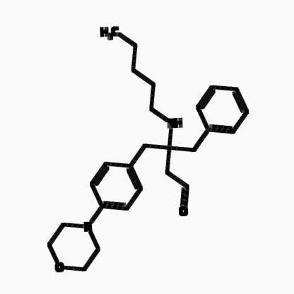 CCCCCNC(CC=O)(Cc1ccccc1)Cc1ccc(N2CCOCC2)cc1